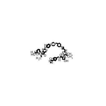 C=CCn1c(=O)c2cnc(Nc3ccc(N4CCN(CC5CCC(N6CC(CC(=O)NC(C(=O)N7CC(O)CC7C(=O)NCc7ccc(-c8scnc8C)cc7)C(C)(C)C)C6)CC5)CC4)cc3)nc2n1-c1cccc(C(C)(C)O)n1